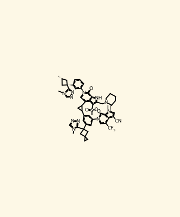 Cn1cnnc1C1(c2cc(C3CC3c3cn(-c4cccc([C@]5(c6nncn6C)C[C@@H](C)C5)c4)c(=O)c4[nH]c(CN5CCCCC5)c(S(C)(=O)=O)c34)cc(-n3cc(C(F)(F)F)c4c(C#N)c[nH]c4c3=O)c2)CC2(CC2)C1